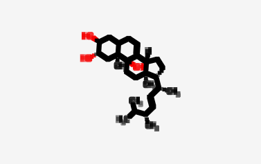 CC(C)[C@@H](C)/C=C/[C@@H](C)[C@H]1CC[C@H]2C3=CCC4C[C@H](O)[C@@H](O)C[C@]4(C)[C@@]3(O)CC[C@]12C